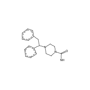 [NH]C(=O)N1CCN(C(Cc2ccccc2)c2ccccc2)CC1